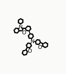 c1ccc(-n2c3ccccc3c3oc4c(-c5ccc(N(c6ccc7c(c6)oc6ccccc67)c6ccc7c(c6)oc6ccccc67)cc5)cccc4c32)cc1